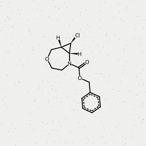 O=C(OCc1ccccc1)N1CCOC[C@@H]2[C@@H](Cl)[C@@H]21